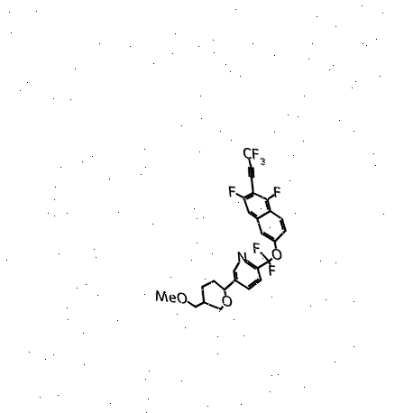 COCC1CCC(c2ccc(C(F)(F)Oc3ccc4c(F)c(C#CC(F)(F)F)c(F)cc4c3)nc2)OC1